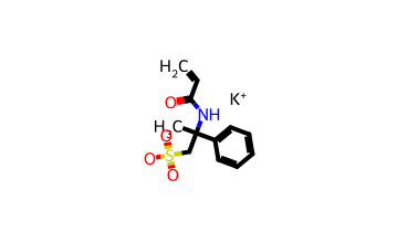 C=CC(=O)NC(C)(CS(=O)(=O)[O-])c1ccccc1.[K+]